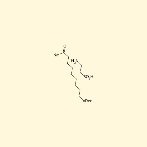 CCCCCCCCCCCCCCCCCC[C](=O)[Na].NCCS(=O)(=O)O